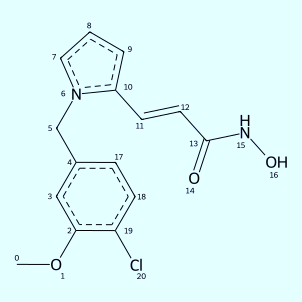 COc1cc(Cn2cccc2C=CC(=O)NO)ccc1Cl